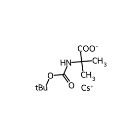 CC(C)(C)OC(=O)NC(C)(C)C(=O)[O-].[Cs+]